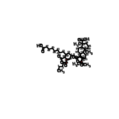 CCCCC/C=C/C(COC1C(C(C)C)C2CC3C4(C)CCCC(C)(C(=O)O)C4CCC13C1C(=O)OC(=O)C21)CC(CCCCCCCC(=O)O)C1CC(=O)OC1=O